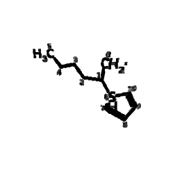 [CH2]C(CCCC)[SH]1C=CC=C1